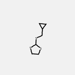 C1CSC(SCC2CC2)S1